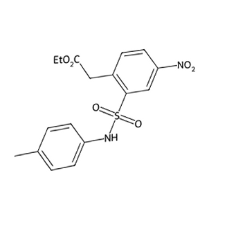 CCOC(=O)Cc1ccc([N+](=O)[O-])cc1S(=O)(=O)Nc1ccc(C)cc1